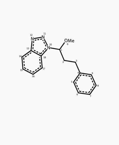 COC(CCc1ccccc1)n1nnc2ccccc21